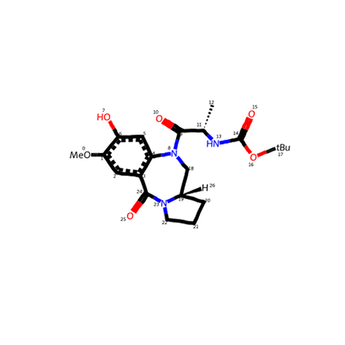 COc1cc2c(cc1O)N(C(=O)[C@H](C)NC(=O)OC(C)(C)C)C[C@@H]1CCCN1C2=O